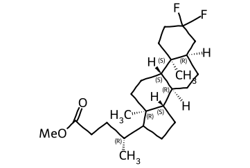 COC(=O)CC[C@@H](C)C1CC[C@H]2[C@@H]3CC[C@@H]4CC(F)(F)CC[C@]4(C)[C@H]3CC[C@]12C